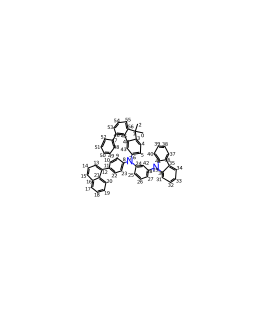 CC1(C)c2ccc(N(c3ccc(-c4cccc5ccccc45)cc3)c3cccc(-n4c5ccccc5c5ccccc54)c3)cc2-c2c(-c3ccccc3)cccc21